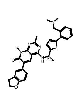 Cc1nc(N[C@H](C)c2ccc(-c3ccccc3CN(C)C)s2)c2cc(-c3ccc4c(c3)CCO4)c(=O)n(C)c2n1